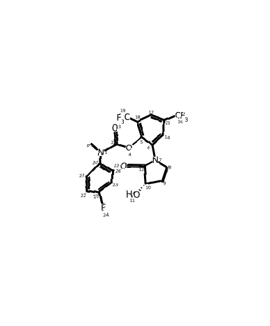 CN(C(=O)Oc1c(N2CC[C@H](O)C2=O)cc(C(F)(F)F)cc1C(F)(F)F)c1ccc(F)cc1